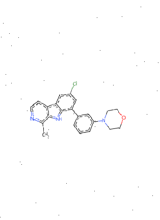 Cc1nccc2c1[nH]c1c(-c3cccc(N4CCOCC4)c3)cc(Cl)cc12